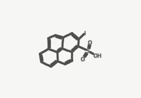 O=S(=O)(O)c1c(I)cc2ccc3cccc4ccc1c2c34